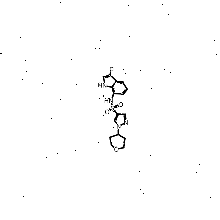 O=S(=O)(Nc1cccc2c(Cl)c[nH]c12)c1cnn(C2CCOCC2)c1